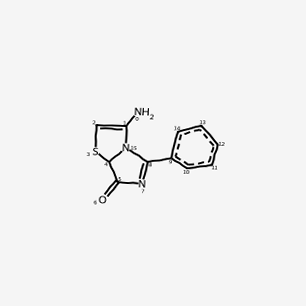 NC1=CSC2C(=O)N=C(c3ccccc3)N12